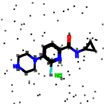 Cl.O=C(NC1CC1)c1ccc(N2CCNCC2)c(F)n1